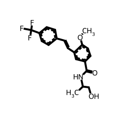 COc1ccc(C(=O)NC(C)CO)cc1C=Cc1ccc(C(F)(F)F)cc1